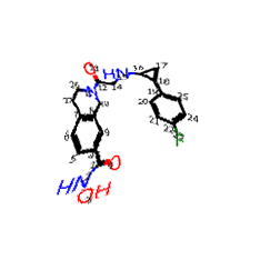 O=C(NO)c1ccc2c(c1)CN(C(=O)CNC1CC1c1ccc(F)cc1)CC2